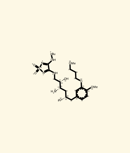 CCCCNC1=NS(=O)(=O)N=C1NC[C@H](O)[C@@H](N)C[C@H](Cc1ccc(OC)c(OCCCOC)c1)C(C)C